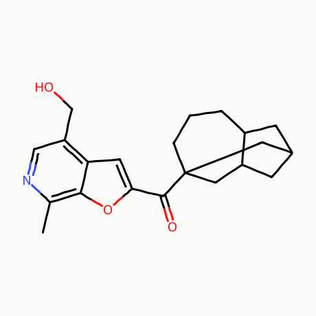 Cc1ncc(CO)c2cc(C(=O)C34CCCC5CC(CC5C3)C4)oc12